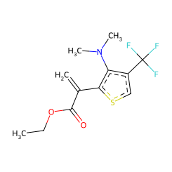 C=C(C(=O)OCC)c1scc(C(F)(F)F)c1N(C)C